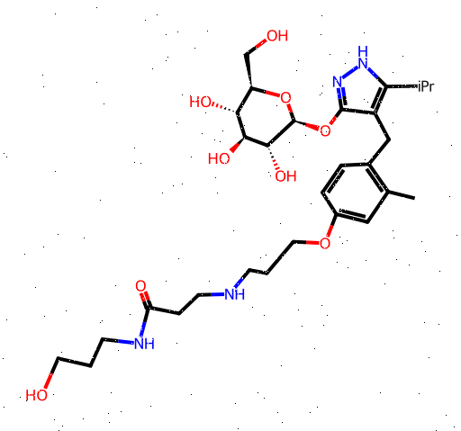 Cc1cc(OCCCNCCC(=O)NCCCO)ccc1Cc1c(O[C@@H]2O[C@H](CO)[C@@H](O)[C@H](O)[C@H]2O)n[nH]c1C(C)C